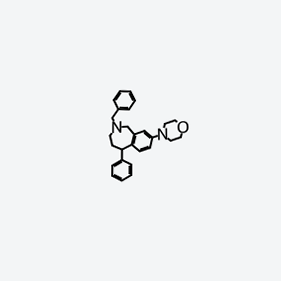 c1ccc(CN2CCC(c3ccccc3)c3ccc(N4CCOCC4)cc3C2)cc1